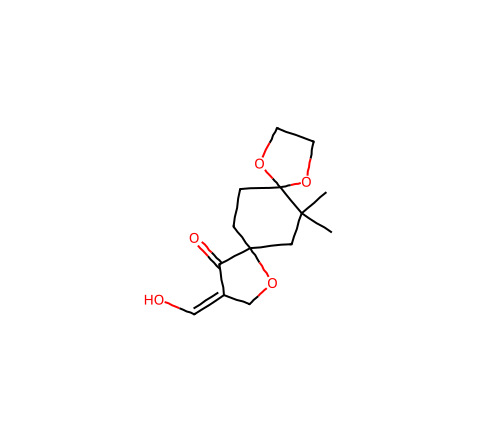 CC1(C)CC2(CCC13OCCO3)OCC(=CO)C2=O